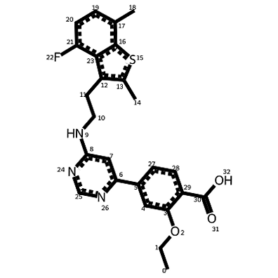 CCOc1cc(-c2cc(NCCc3c(C)sc4c(C)ccc(F)c34)ncn2)ccc1C(=O)O